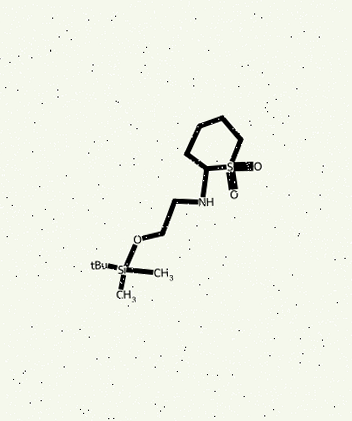 CC(C)(C)[Si](C)(C)OCCNC1CCCCS1(=O)=O